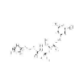 C[C@H](CC(=N)C(=O)OCc1cc(Cl)cc(Cl)c1)NC(=O)CCCc1c[nH]nn1